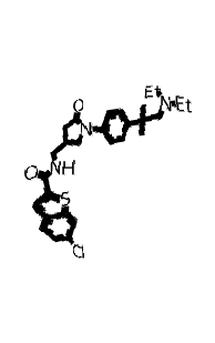 CCN(CC)CC(C)(C)c1ccc(N2CC(CNC(=O)c3cc4ccc(Cl)cc4s3)CC2=O)cc1